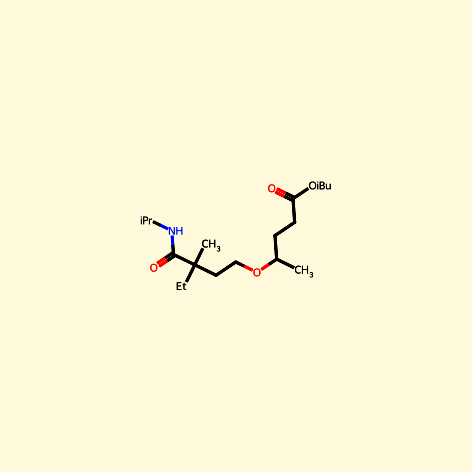 CCC(C)(CCOC(C)CCC(=O)OCC(C)C)C(=O)NC(C)C